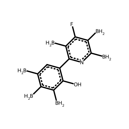 Bc1cc(-c2nc(B)c(B)c(F)c2B)c(O)c(B)c1B